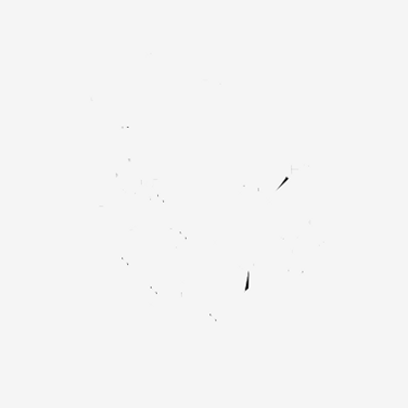 CCN(C[C@@]12CC[C@@H](c3cc(-c4c(F)cccc4F)nnc31)C2(C)C)c1nnc(C(F)(F)F)o1